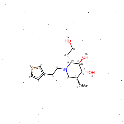 CO[C@H]1CN(CCc2ccsc2)[C@H](CCO)[C@@H](O)[C@@H]1O